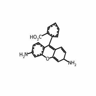 Nc1ccc2c(c1)OC1=CC(N)C=CC1=C2c1ccccc1C(=O)O